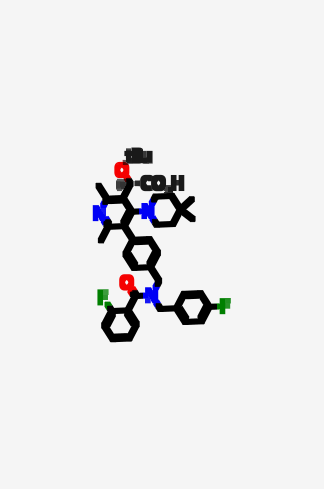 Cc1nc(C)c([C@H](OC(C)(C)C)C(=O)O)c(N2CCC(C)(C)CC2)c1-c1ccc(CN(Cc2ccc(F)cc2)C(=O)c2ccccc2F)cc1